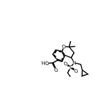 CCS(=O)(=O)N(CC1CC1)C1CC(C)(C)Oc2ccc(C(=O)O)cc21